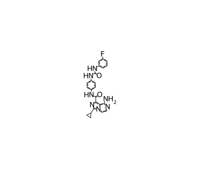 Nc1nccn2c(C3CC3)nc(C(=O)Nc3ccc(NC(=O)Nc4cccc(F)c4)cc3)c12